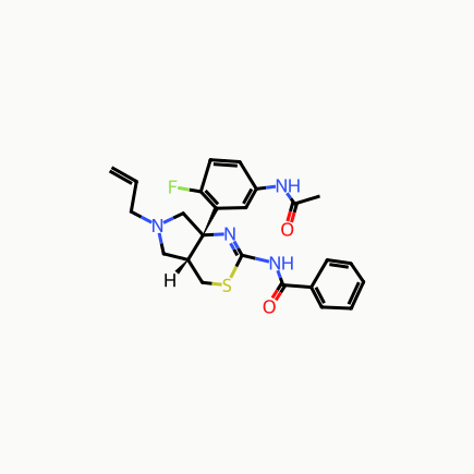 C=CCN1C[C@H]2CSC(NC(=O)c3ccccc3)=N[C@@]2(c2cc(NC(C)=O)ccc2F)C1